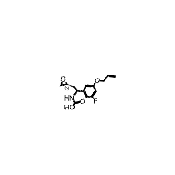 C=CCOc1cc(F)cc(C(C[C@H]2CO2)NC(=O)O)c1